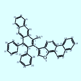 [2H]c1c(-c2coc3c2ccc2c4ccccc4ccc23)c(-c2ccccc2)c(-c2ccccc2)c2cc3ccccc3cc12